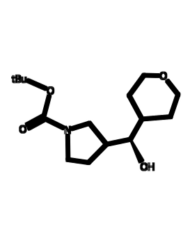 CC(C)(C)OC(=O)N1CCC([C@H](O)C2CCOCC2)C1